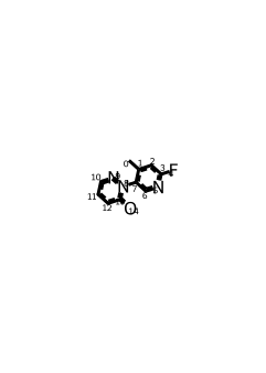 Cc1cc(F)ncc1-n1ncccc1=O